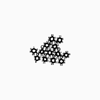 c1ccc(N(c2ccccc2)c2cc3c4c(c2)N(c2ccccc2)c2cc5c(cc2B4c2ccccc2O3)B2c3cc4c(cc3Oc3cc(N(c6ccccc6)c6ccccc6)cc(c32)N5c2ccccc2)N(c2ccccc2)c2ccccc2O4)cc1